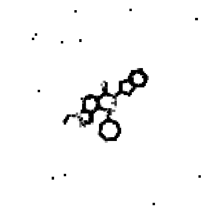 CCn1ncc2c(NC3CCCCCC3)c(C(=O)NC3Cc4ccccc4C3)cnc21